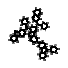 c1ccc(N(c2ccc3ccccc3c2)c2cc(N(c3ccccc3)c3ccc4c(c3)sc3ccccc34)c3sc4ccc(-c5ccc6c(c5)c5ccccc5n6-c5ccccc5)cc4c3c2)cc1